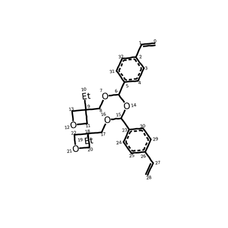 C=Cc1ccc(C(OCC2(CC)COC2)OC(OCC2(CC)COC2)c2ccc(C=C)cc2)cc1